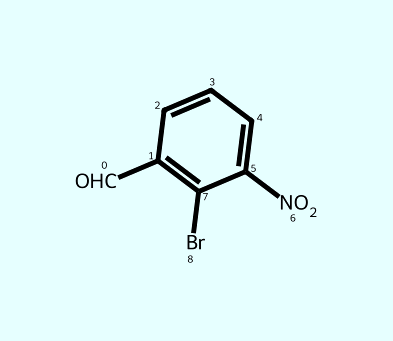 O=Cc1cccc([N+](=O)[O-])c1Br